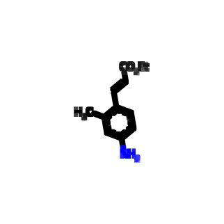 CCOC(=O)C=Cc1ccc(N)cc1C